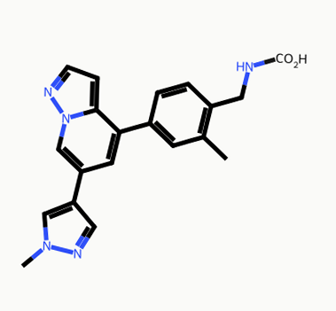 Cc1cc(-c2cc(-c3cnn(C)c3)cn3nccc23)ccc1CNC(=O)O